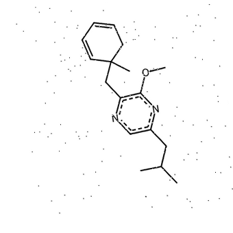 COc1nc(CC(C)C)cnc1CC1(C)C=CC=CC1